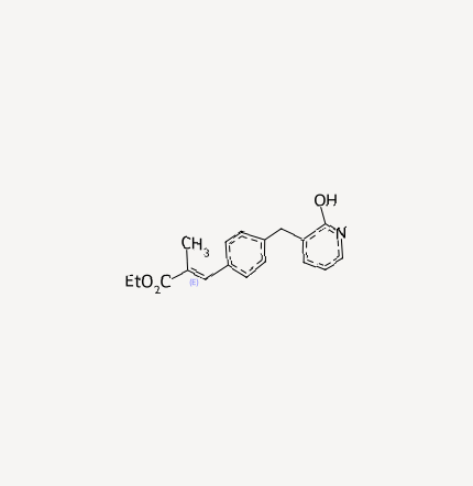 CCOC(=O)/C(C)=C/c1ccc(Cc2cccnc2O)cc1